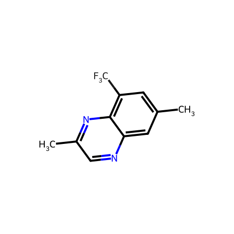 Cc1cc(C(F)(F)F)c2nc(C)cnc2c1